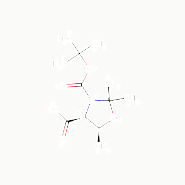 C[C@@H]1OC(C)(C)N(C(=O)OC(C)(C)C)[C@@H]1C(=O)O